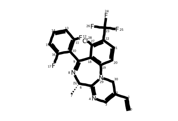 C=CC1=CN=C2[C@H](C)N=C(c3c(F)cccc3F)c3c(ccc(C(F)(F)F)c3Cl)N2C1